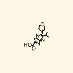 CC(C)c1nc2nc(C(=O)O)sc2nc1N1CCOCC1